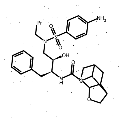 CC(C)CN(C[C@@H](O)[C@H](Cc1ccccc1)NC(=O)OC1C2COC3OCC1C3C2)S(=O)(=O)c1ccc(N)cc1